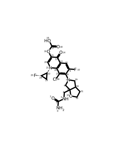 NC(=O)NCC12CN(c3c(F)cc4c(=O)c(OC(=O)O)cn([C@@H]5C[C@@H]5F)c4c3Cl)CC1CCO2